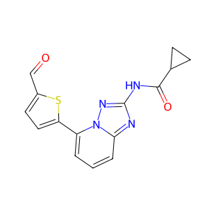 O=Cc1ccc(-c2cccc3nc(NC(=O)C4CC4)nn23)s1